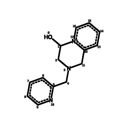 OC1CN(Cc2ccccn2)Cc2cccc[n+]21